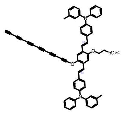 C#CC#CC#CC#CC#CC#COc1cc(/C=C/c2ccc(N(c3ccccc3)c3cccc(C)c3)cc2)c(OCCCCCCCCCCCC)cc1/C=C/c1ccc(N(c2ccccc2)c2cccc(C)c2)cc1